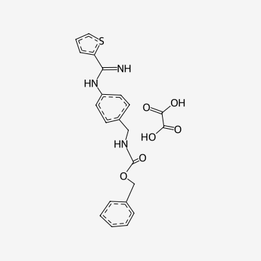 N=C(Nc1ccc(CNC(=O)OCc2ccccc2)cc1)c1cccs1.O=C(O)C(=O)O